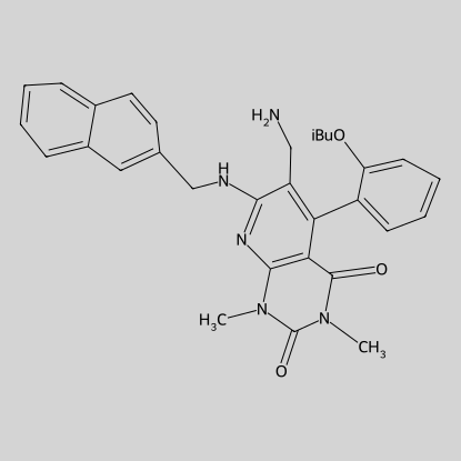 CC(C)COc1ccccc1-c1c(CN)c(NCc2ccc3ccccc3c2)nc2c1c(=O)n(C)c(=O)n2C